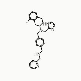 Fc1cccc2c1CC(N(Cc1ccc(CNCc3ccccn3)cc1)Cc1ncc[nH]1)CC2